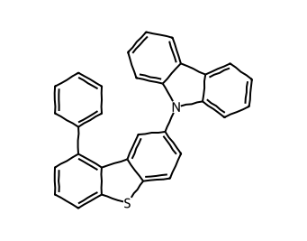 c1ccc(-c2cccc3sc4ccc(-n5c6ccccc6c6ccccc65)cc4c23)cc1